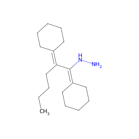 CCCCC(=C1CCCCC1)C(NN)=C1CCCCC1